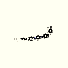 C=CCCCCOC1CCC(/C=C/C2CCC(/C=C/C3CCC(C(F)(F)Oc4ccc(F)c(F)c4)CC3)CC2)OC1